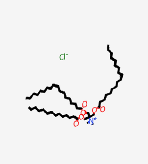 CCCCCCCC/C=C\CCCCCCCC(=O)OCC(COC(=O)CCCCCCC/C=C\CCCCCCCC)(COC(=O)CCCCCCCCCCCCC)[N+](C)(C)C.[Cl-]